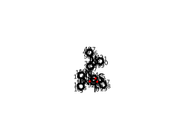 Fc1cccc(-n2c3ccccc3c3cccc(N(c4ccc5c(c4)sc4ccccc45)c4ccc5c(c4)c4ccccc4n5-c4ccccc4)c32)c1